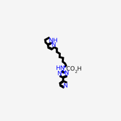 O=C(O)C(CCCCCCCc1ccc2c(n1)NCCC2)Nc1ncc(-c2cccnc2)cn1